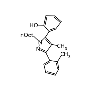 CCCCCCCCn1nc(-c2ccccc2C)c(C)c1-c1ccccc1O